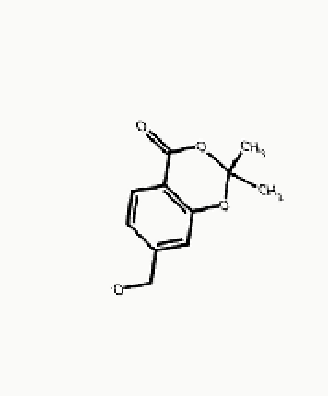 CC1(C)OC(=O)c2ccc(C[O])cc2O1